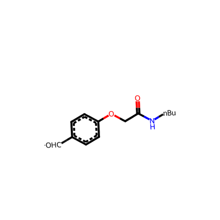 CCCCNC(=O)COc1ccc([C]=O)cc1